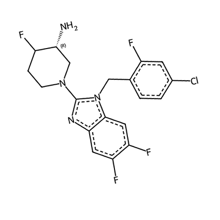 N[C@@H]1CN(c2nc3cc(F)c(F)cc3n2Cc2ccc(Cl)cc2F)CCC1F